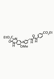 CCOC(=O)c1ccc(NC(=O)NCc2ccn(-c3cc4nc(C(=O)OCC)c(=O)[nH]c4cc3OC)c2)cc1